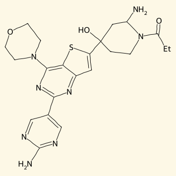 CCC(=O)N1CCC(O)(c2cc3nc(-c4cnc(N)nc4)nc(N4CCOCC4)c3s2)CC1N